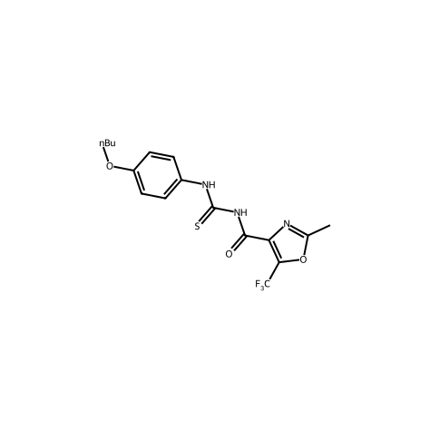 CCCCOc1ccc(NC(=S)NC(=O)c2nc(C)oc2C(F)(F)F)cc1